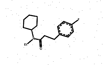 CCN(C(=O)CCc1ccc(F)cc1)C1CCCCC1